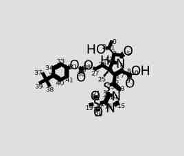 CC(O)[C@H]1C(=O)N2C(C(=O)O)=C(c3cn4cnc(S(C)(=O)=O)c4s3)[C@](C)(CCOC(=O)Oc3ccc(C(C)(C)C)cc3)[C@@H]12